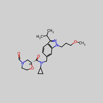 COCCCn1nc(C(C)C)c2ccc(CN(C(=O)[C@H]3CN(C=O)CCO3)C3CC3)cc21